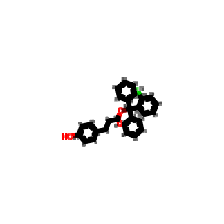 O=C(CCc1ccc(O)cc1)OC(c1ccccc1)(c1ccccc1)c1ccccc1Cl